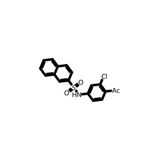 CC(=O)c1ccc(NS(=O)(=O)c2ccc3ccccc3c2)cc1Cl